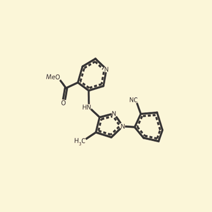 COC(=O)c1ccncc1Nc1nn(-c2ccccc2C#N)cc1C